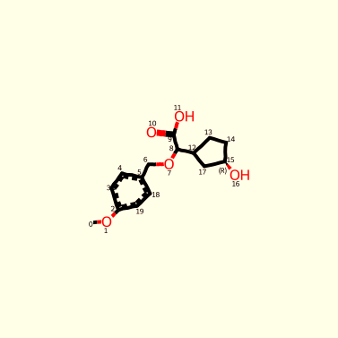 COc1ccc(COC(C(=O)O)C2CC[C@@H](O)C2)cc1